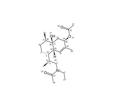 CCN(C[C@@H](C)[C@@H]1CC[C@@H](C)[C@]2(O)[C][C@@H](OC(C)=O)C(C)=C[C@H]12)C(C)=O